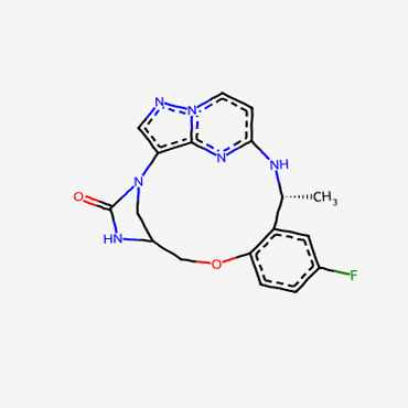 C[C@H]1Nc2ccn3ncc(c3n2)N2CC(COc3ccc(F)cc31)NC2=O